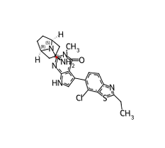 CCc1nc2ccc(-c3c[nH]c4nc(N5[C@@H]6CC[C@H]5C[C@@H](N)C6)n(C)c(=O)c34)c(Cl)c2s1